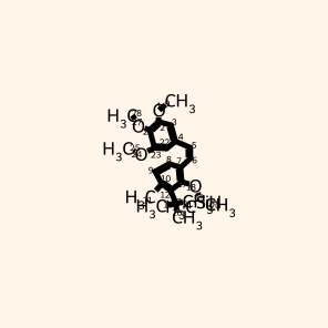 COc1cc(/C=C\c2ccc(C)c(C(C)(C)C)c2O[SiH](C)C)cc(OC)c1OC